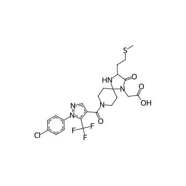 CSCCC1NC2(CCN(C(=O)c3cnn(-c4ccc(Cl)cc4)c3C(F)(F)F)CC2)N(CC(=O)O)C1=O